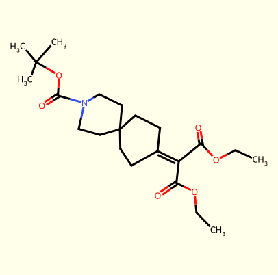 CCOC(=O)C(C(=O)OCC)=C1CCC2(CC1)CCN(C(=O)OC(C)(C)C)CC2